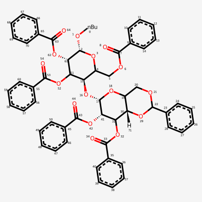 CCCCO[C@@H]1OC(COC(=O)c2ccccc2)[C@@H](O[C@@H]2OC3COC(c4ccccc4)O[C@@H]3C(OC(=O)c3ccccc3)[C@@H]2OC(=O)c2ccccc2)C(OC(=O)c2ccccc2)[C@@H]1OC(=O)c1ccccc1